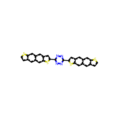 c1cc2cc3cc4sc(-c5nnc(-c6cc7cc8cc9sccc9cc8cc7s6)nn5)cc4cc3cc2s1